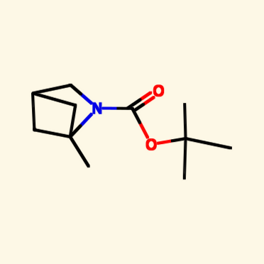 CC(C)(C)OC(=O)N1CC2CC1(C)C2